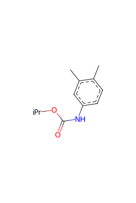 Cc1ccc(NC(=O)OC(C)C)cc1C